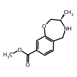 COC(=O)c1ccc2c(c1)OC[C@@H](C)NC2